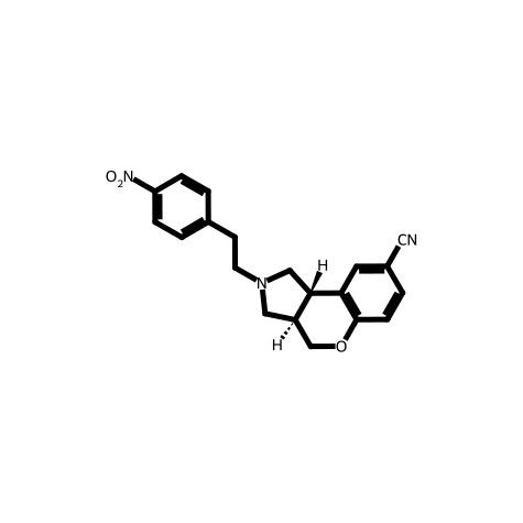 N#Cc1ccc2c(c1)[C@H]1CN(CCc3ccc([N+](=O)[O-])cc3)C[C@@H]1CO2